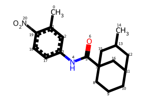 Cc1cc(NC(=O)C23CCCC(CC(C)C2)C3)ccc1[N+](=O)[O-]